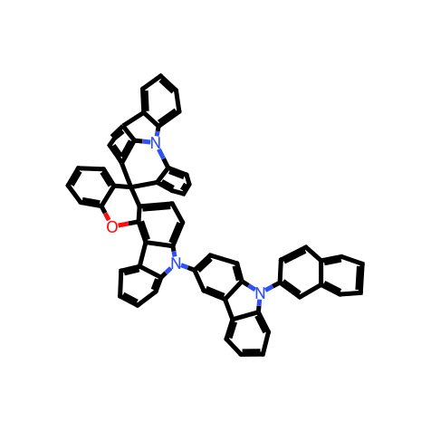 c1ccc2c(c1)Oc1c(ccc3c1c1ccccc1n3-c1ccc3c(c1)c1ccccc1n3-c1ccc3ccccc3c1)C21c2ccccc2-n2c3ccccc3c3cccc1c32